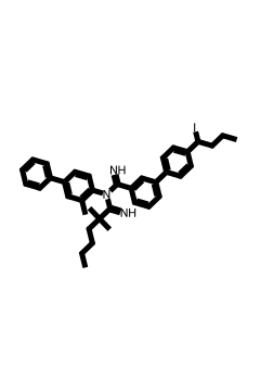 CCCCC(C)(C)C(=N)N(C(=N)c1cccc(-c2ccc(C(I)CCC)cc2)c1)c1ccc(-c2ccccc2)cc1C